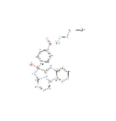 C#CCCCNC(=O)c1ccc(C2(O)N=C3N=CC=C4c5ccccc5N=C2N43)cc1